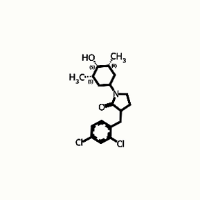 C[C@@H]1CC(N2CCC(Cc3ccc(Cl)cc3Cl)C2=O)C[C@H](C)[C@@H]1O